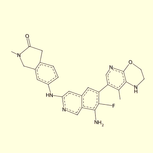 Cc1c(-c2cc3cc(Nc4ccc5c(c4)CN(C)C(=O)C5)ncc3c(N)c2F)cnc2c1NCCO2